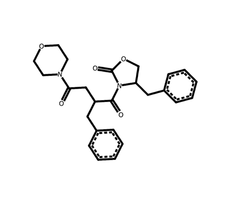 O=C(CC(Cc1ccccc1)C(=O)N1C(=O)OCC1Cc1ccccc1)N1CCOCC1